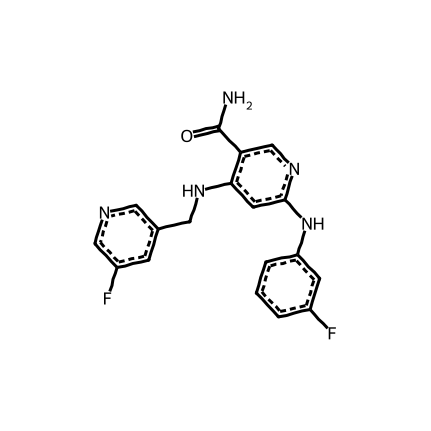 NC(=O)c1cnc(Nc2cccc(F)c2)cc1NCc1cncc(F)c1